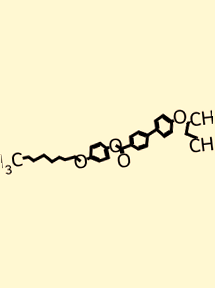 CCCCCCCCOc1ccc(OC(=O)c2ccc(-c3ccc(O[C@H](C)CCC)cc3)cc2)cc1